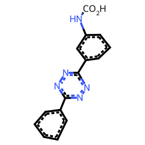 O=C(O)Nc1cccc(-c2nnc(-c3ccccc3)nn2)c1